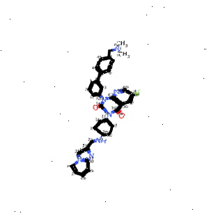 CN(C)Cc1ccc(-c2cccc(-n3c(=O)n([C@H]4CC[C@@H](NCc5cn6ccccc6n5)CC4)c(=O)c4cc(F)cnc43)c2)cc1